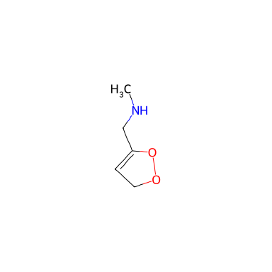 CNCC1=CCOO1